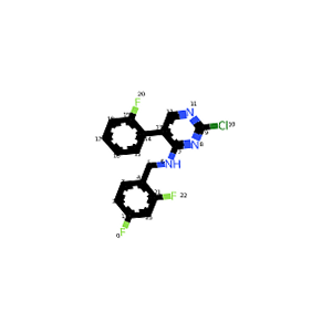 Fc1ccc(CNc2nc(Cl)ncc2-c2ccccc2F)c(F)c1